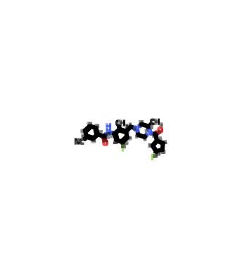 Cc1c(CN2CCN(C(=O)C3CCC(F)C3)[C@@H](C)C2)cc(F)cc1NC(=O)c1cccc(C#N)c1